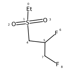 CCS(=O)(=O)CC(F)CF